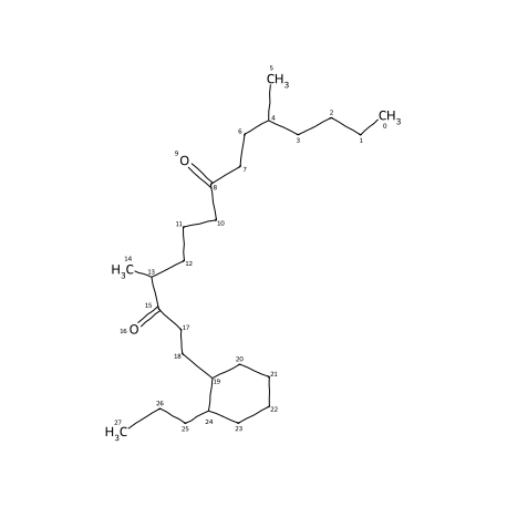 CCCCC(C)CCC(=O)CCCC(C)C(=O)CCC1CCCCC1CCC